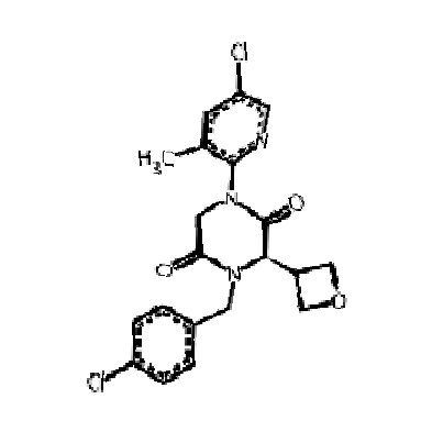 Cc1cc(Cl)cnc1N1CC(=O)N(Cc2ccc(Cl)cc2)[C@H](C2COC2)C1=O